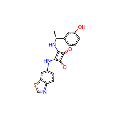 C[C@H](Nc1c(Nc2ccc3ncsc3c2)c(=O)c1=O)c1cccc(O)c1